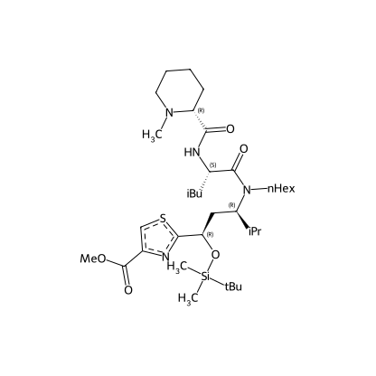 CCCCCCN(C(=O)[C@@H](NC(=O)[C@H]1CCCCN1C)C(C)CC)[C@H](C[C@@H](O[Si](C)(C)C(C)(C)C)c1nc(C(=O)OC)cs1)C(C)C